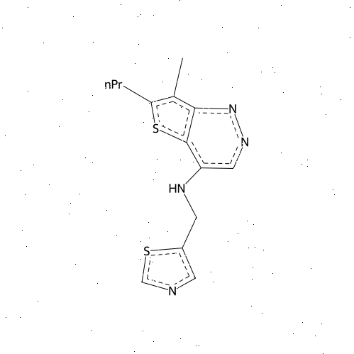 CCCc1sc2c(NCc3cncs3)cnnc2c1C